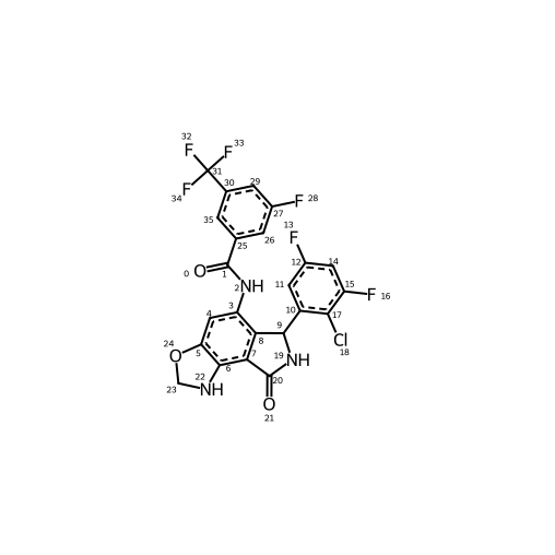 O=C(Nc1cc2c(c3c1C(c1cc(F)cc(F)c1Cl)NC3=O)NCO2)c1cc(F)cc(C(F)(F)F)c1